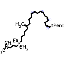 C=C(CCC/C=C\C/C=C\C/C=C\C/C=C\CCCCC)CCCCCP(=C)(CC)CCCN(C)C